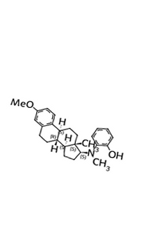 COc1ccc2c(c1)CC[C@@H]1[C@@H]2CC[C@]2(C)[C@@H](N(C)c3ccccc3O)CC[C@@H]12